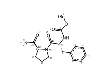 CC(C)(C)OC(=O)N[C@H](Cc1ccccc1)C(=O)N1CCC[C@H]1C(N)=O